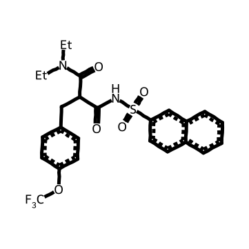 CCN(CC)C(=O)C(Cc1ccc(OC(F)(F)F)cc1)C(=O)NS(=O)(=O)c1ccc2ccccc2c1